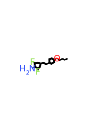 CCCCOc1ccc(C=Cc2cc(F)c(N)c(F)c2)cc1